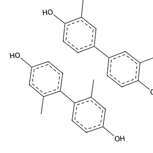 Cc1cc(-c2ccc(O)c(C)c2)ccc1O.Cc1cc(O)ccc1-c1ccc(O)cc1C